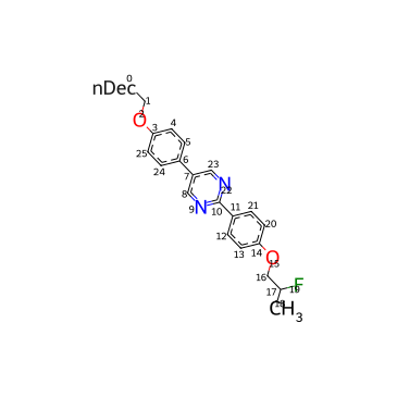 CCCCCCCCCCCOc1ccc(-c2cnc(-c3ccc(OCC(C)F)cc3)nc2)cc1